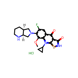 COc1c(N2C[C@@H]3CCCN[C@@H]3C2)c(F)cc2c(=O)c3c(=O)[nH]sc3n(C3CC3)c12.Cl